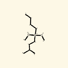 CCCC[Si](CCC(C)C)(OC)OC